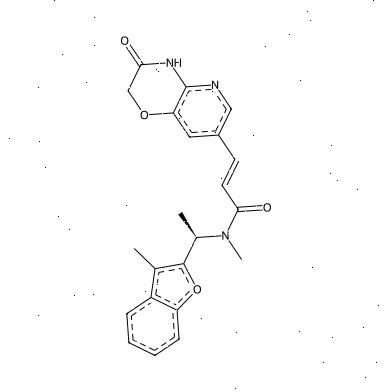 Cc1c([C@@H](C)N(C)C(=O)C=Cc2cnc3c(c2)OCC(=O)N3)oc2ccccc12